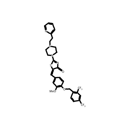 COc1cc(C=C2SC(N3CCN(CCc4ccccn4)CC3)=NC2=O)ccc1OCc1ccc(C(F)(F)F)cc1C(F)(F)F